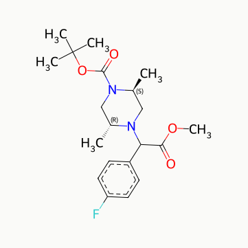 COC(=O)C(c1ccc(F)cc1)N1C[C@H](C)N(C(=O)OC(C)(C)C)C[C@H]1C